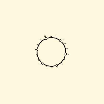 C1COCCOCCSCCOCCOCCO1